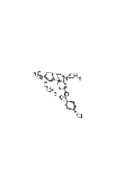 COc1ccc(C23CCC(OC(=O)c4ccc(Cl)cc4)=CC2N(C)CC3)cc1OC